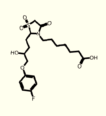 O=C(O)CCCCCCN1C(=O)CS(=O)(=O)C1CCC(O)COc1ccc(F)cc1